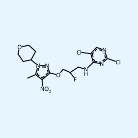 Cc1c([N+](=O)[O-])c(OCC(F)CNc2nc(Cl)ncc2Cl)nn1C1CCOCC1